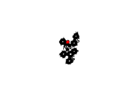 c1ccc2c(c1)oc1c(-c3ccc4sc5ccccc5c4c3)nc(-n3c4ccccc4c4c5c6ccccc6sc5c5ccccc5c43)nc12